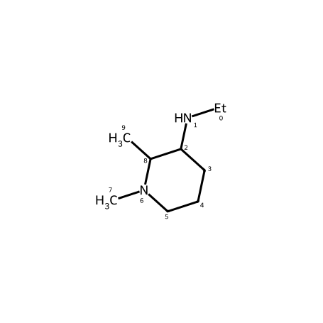 CCNC1CCCN(C)C1C